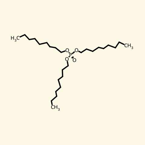 CCCCCCCCCOP(=O)(OCCCCCCCCC)OCCCCCCCCC